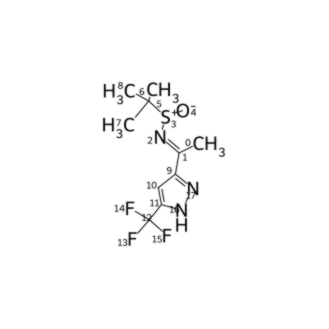 CC(=N[S+]([O-])C(C)(C)C)c1cc(C(F)(F)F)[nH]n1